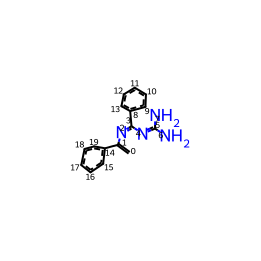 C=C(/N=C(\N=C(N)N)c1ccccc1)c1ccccc1